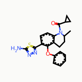 CC1CCc2c(ccc(-c3nnc(N)s3)c2Oc2ccccc2)N1C(=O)C1CC1